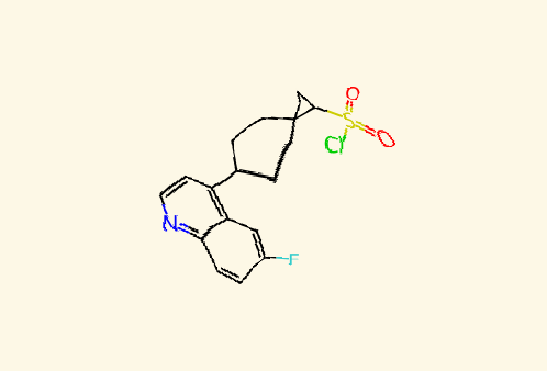 O=S(=O)(Cl)C1CC12CCC(c1ccnc3ccc(F)cc13)CC2